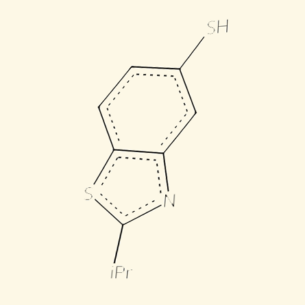 CC(C)c1nc2cc(S)ccc2s1